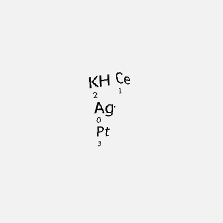 [Ag].[Ce].[KH].[Pt]